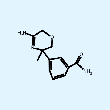 CC1(c2cccc(C(N)=O)c2)COCC(N)=N1